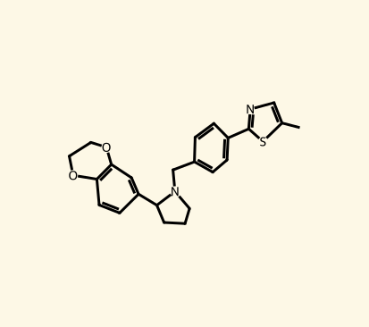 Cc1cnc(-c2ccc(CN3CCCC3c3ccc4c(c3)OCCO4)cc2)s1